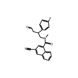 CN(CC(CC=O)c1ccc(F)cc1)C(=O)c1cc(C#N)cc2ccccc12